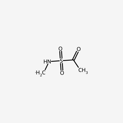 [CH2]NS(=O)(=O)C(C)=O